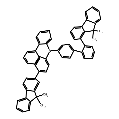 CC1(C)c2ccccc2-c2ccc(-c3ccc(N(c4ccc(-c5ccccc5-c5cccc6c5C(C)(C)c5ccccc5-6)cc4)c4ccccc4-c4ccccc4)cc3)cc21